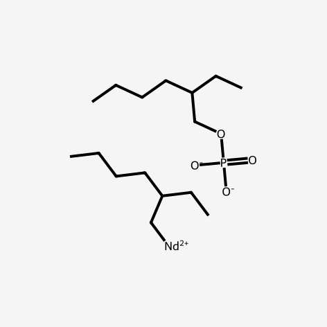 CCCCC(CC)COP(=O)([O-])[O-].CCCCC(CC)[CH2][Nd+2]